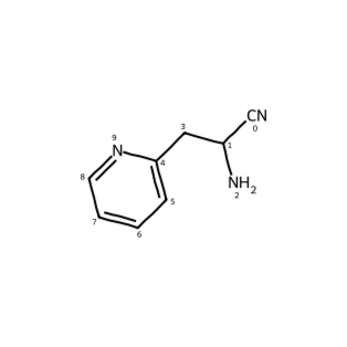 N#CC(N)Cc1ccccn1